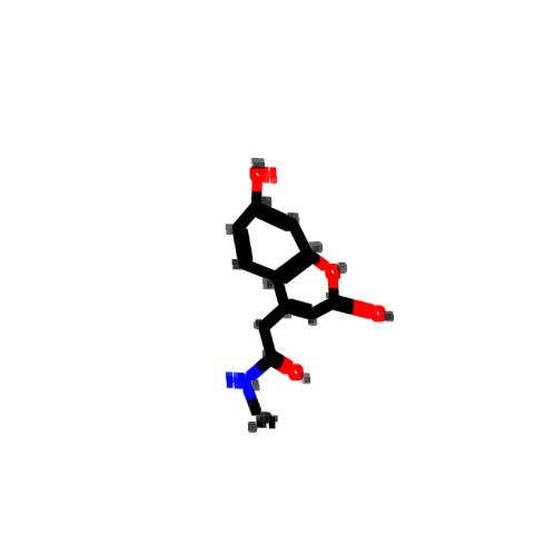 CC(C)NC(=O)Cc1cc(=O)oc2cc(O)ccc12